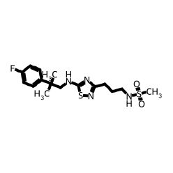 CC(C)(CNc1nc(CCCNS(C)(=O)=O)ns1)c1ccc(F)cc1